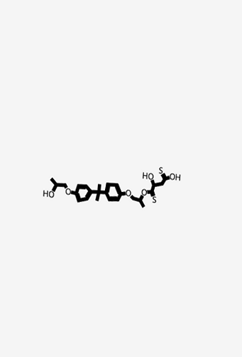 CC(O)COc1ccc(C(C)(C)c2ccc(OCC(C)OC(=S)C(O)CC(O)=S)cc2)cc1